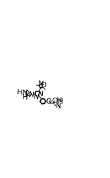 CNCC(O)COc1cccc(-c2nc(-c3c(C)noc3C)cc(N3C[C@@H]4NCC43)n2)c1